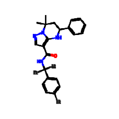 CCc1ccc(C(CC)(CC)NC(=O)c2cnn3c2NC(c2ccccc2)CC3(C)C)cc1